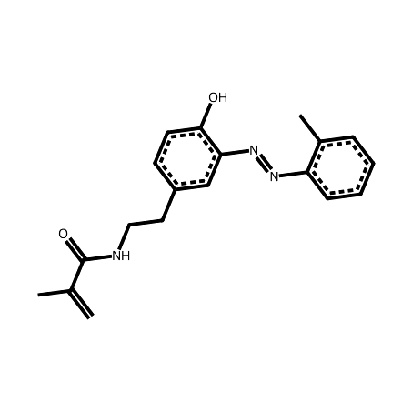 C=C(C)C(=O)NCCc1ccc(O)c(N=Nc2ccccc2C)c1